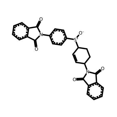 O=C1c2ccccc2C(=O)N1c1ccc([S+]([O-])C2C=CC(N3C(=O)c4ccccc4C3=O)CC2)cc1